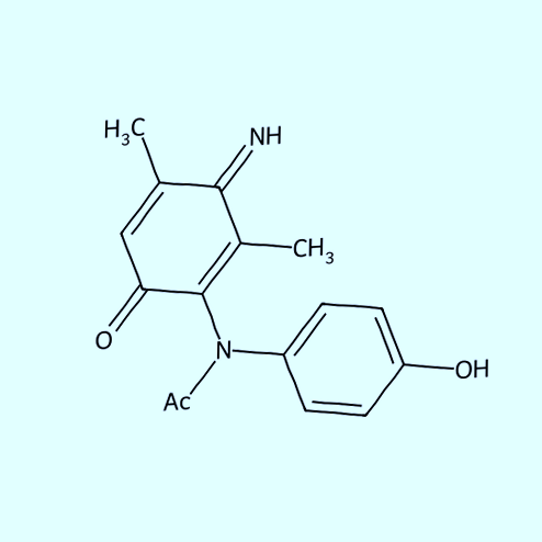 CC(=O)N(C1=C(C)C(=N)C(C)=CC1=O)c1ccc(O)cc1